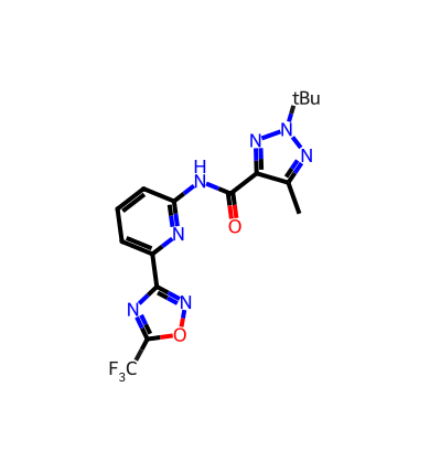 Cc1nn(C(C)(C)C)nc1C(=O)Nc1cccc(-c2noc(C(F)(F)F)n2)n1